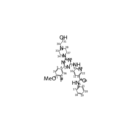 COc1ccc(-c2nc(Nc3ccc(C(=O)Nc4ccccc4)cn3)nc(N3CCN(CCO)CC3)n2)cc1F